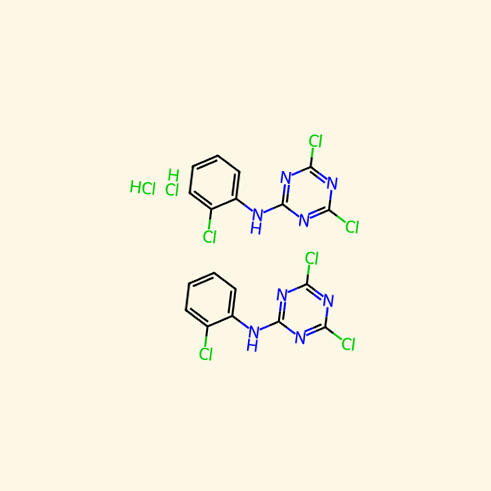 Cl.Cl.Clc1nc(Cl)nc(Nc2ccccc2Cl)n1.Clc1nc(Cl)nc(Nc2ccccc2Cl)n1